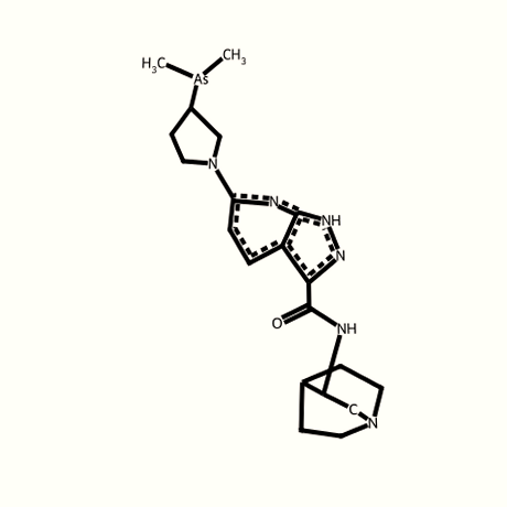 C[As](C)C1CCN(c2ccc3c(C(=O)NC4CN5CCC4CC5)n[nH]c3n2)C1